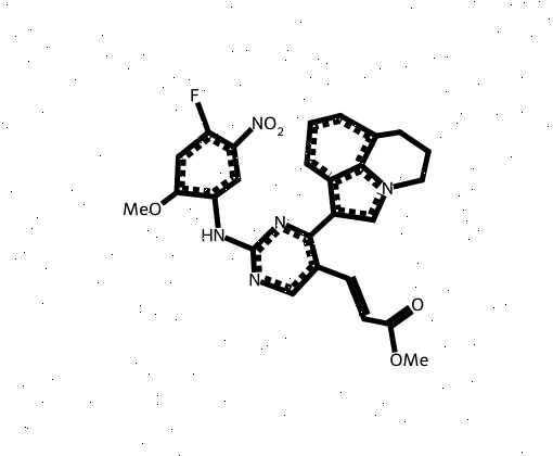 COC(=O)/C=C/c1cnc(Nc2cc([N+](=O)[O-])c(F)cc2OC)nc1-c1cn2c3c(cccc13)CCC2